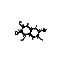 Cc1cc2c(cc1Br)cc(C)c(=O)n2C